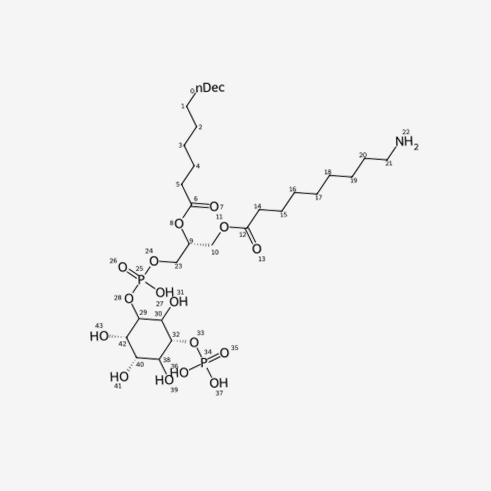 CCCCCCCCCCCCCCCC(=O)O[C@H](COC(=O)CCCCCCCCN)COP(=O)(O)OC1C(O)[C@H](OP(=O)(O)O)C(O)[C@H](O)[C@@H]1O